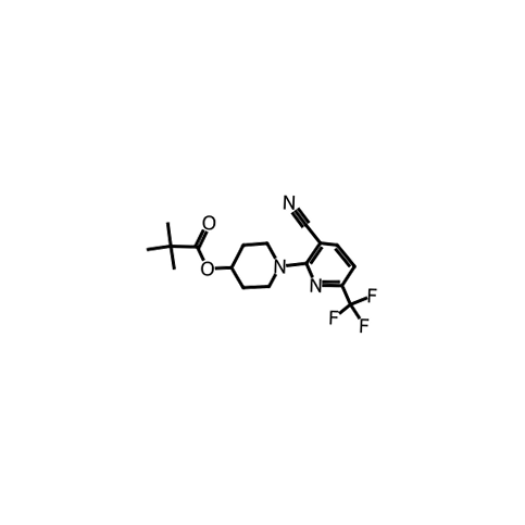 CC(C)(C)C(=O)OC1CCN(c2nc(C(F)(F)F)ccc2C#N)CC1